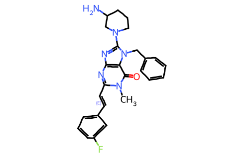 Cn1c(/C=C/c2cccc(F)c2)nc2nc(N3CCCC(N)C3)n(Cc3ccccc3)c2c1=O